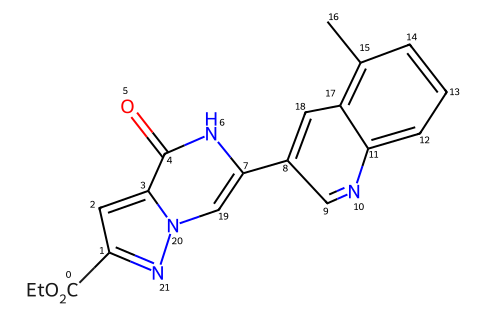 CCOC(=O)c1cc2c(=O)[nH]c(-c3cnc4cccc(C)c4c3)cn2n1